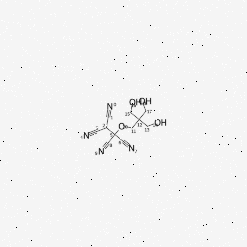 N#CC(C#N)C(C#N)(C#N)OCC(CO)(CO)CO